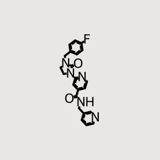 O=C(NCc1cccnc1)c1ccnc(N2CCN(Cc3ccc(F)cc3)C2=O)c1